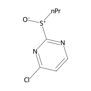 CCC[S+]([O-])c1nccc(Cl)n1